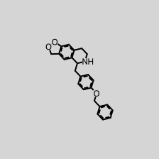 c1ccc(COc2ccc(CC3NCCc4cc5c(cc43)COO5)cc2)cc1